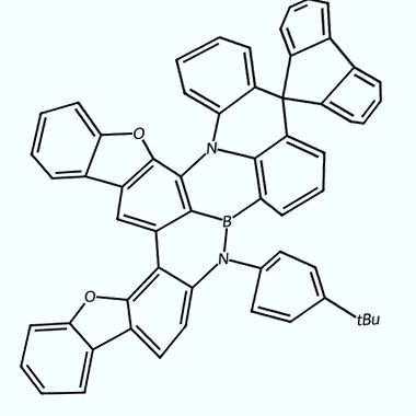 CC(C)(C)c1ccc(N2B3c4cccc5c4N(c4ccccc4C54c5ccccc5-c5ccccc54)c4c3c(cc3c4oc4ccccc43)-c3c2ccc2c3oc3ccccc32)cc1